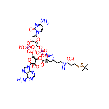 CC(C)(C)SSCCC(O)NCCCC[C@H](N)C(=O)O[C@@H]1[C@@H](COP(=O)(O)O[C@H]2C[C@H](n3ccc(N)nc3=O)O[C@@H]2COP(=O)(O)O)OC(n2cnc3c(N)ncnc32)[C@@H]1O